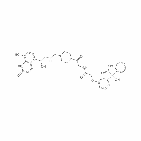 O=C(COc1cccc(C(O)(C(=O)O)c2ccccc2)c1)NCC(=O)N1CCC(CNCC(O)c2ccc(O)c3[nH]c(=O)ccc23)CC1